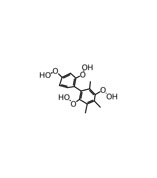 Cc1c(C)c(OO)c(-c2ccc(OO)cc2OO)c(C)c1OO